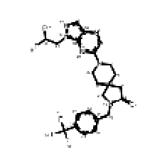 O=C1CC2(CCN(c3cnc4cnn(CC(F)F)c4n3)CC2)CN1Cc1ccc(C(F)(F)F)cc1